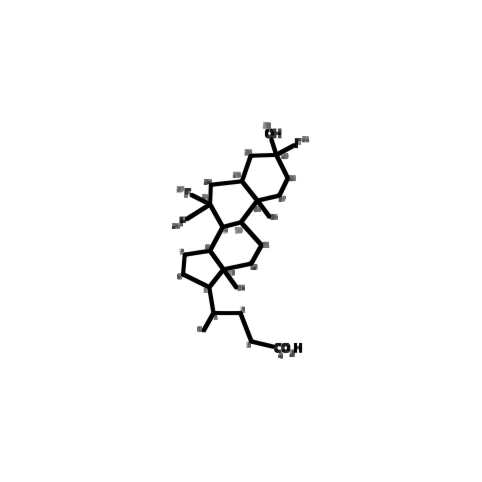 CC(CCC(=O)O)C1CCC2C3C(CCC12C)C1(C)CCC(O)(F)CC1CC3(F)F